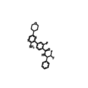 Nc1ncc(C2CCOCC2)nc1-c1ccc(C(=O)NC(c2ccccc2)C(F)F)c(F)c1